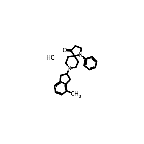 Cc1cccc2c1CC(N1CCC3(CC1)C(=O)CCN3c1ccccc1)C2.Cl